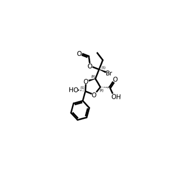 CC[C@@](Br)(OC=O)[C@@H]1O[C@](O)(c2ccccc2)O[C@H]1C(=O)O